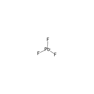 [F][Pb]([F])[F]